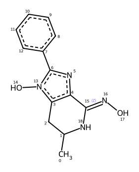 CC1Cc2c(nc(-c3ccccc3)n2O)/C(=N/O)N1